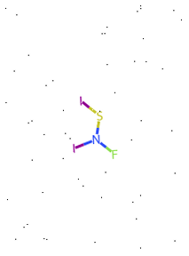 FN(I)SI